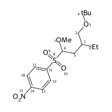 CCC(COC(C)(C)C)CC(OC)S(=O)(=O)c1ccc([N+](=O)[O-])cc1